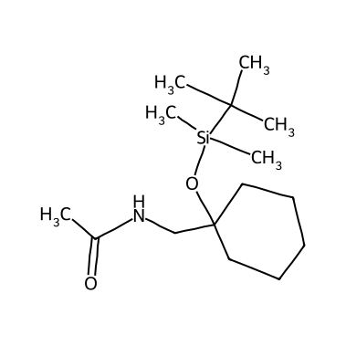 CC(=O)NCC1(O[Si](C)(C)C(C)(C)C)CCCCC1